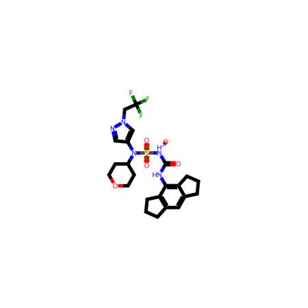 O=C(Nc1c2c(cc3c1CCC3)CCC2)[NH+]([O-])S(=O)(=O)N(c1cnn(CC(F)(F)F)c1)C1CCOCC1